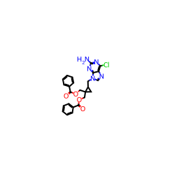 Nc1nc(Cl)c2ncn(CC3CC3(COC(=O)c3ccccc3)COC(=O)c3ccccc3)c2n1